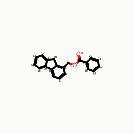 O=C(OCc1cccc2c1Cc1ccccc1-2)c1ccccc1